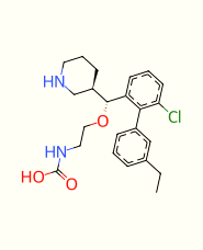 CCc1cccc(-c2c(Cl)cccc2[C@H](OCCNC(=O)O)[C@@H]2CCCNC2)c1